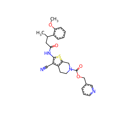 COc1ccccc1C(C)CC(=O)Nc1sc2c(c1C#N)CCN(C(=O)OCc1cccnc1)C2